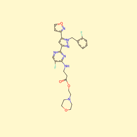 O=C(CCNc1nc(-c2cc(-c3ccon3)n(Cc3ccccc3F)n2)ncc1F)OCCN1CCOCC1